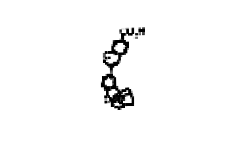 COc1ccc(C2=Cc3ccc(C(=O)O)cc3OC2)cc1C12CC3CC(CC(C3)C1)C2